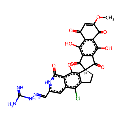 COC1=CC(=O)c2c(O)c3c(c(O)c2C1=O)C(=O)[C@]1(CCc2c1c(O)c1c(=O)[nH]c(/C=N/NC(=N)N)cc1c2Cl)C3=O